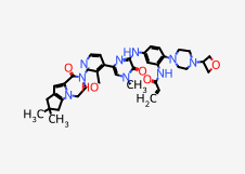 C=CC(=O)Nc1cc(Nc2nc(-c3ccnc(N4CCn5c(cc6c5CC(C)(C)C6)C4=O)c3CO)cn(C)c2=O)ccc1N1CCN(C2COC2)CC1